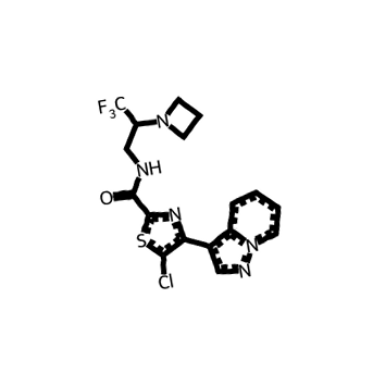 O=C(NCC(N1CCC1)C(F)(F)F)c1nc(-c2cnn3ccccc23)c(Cl)s1